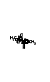 COc1nc(Cl)nc(-c2c[nH]c3cc(C)ccc23)c1Cl